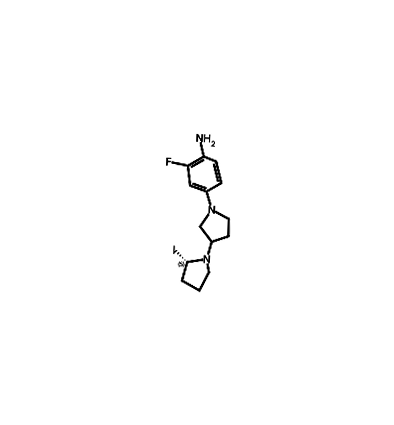 Nc1ccc(N2CCC(N3CCC[C@@H]3I)C2)cc1F